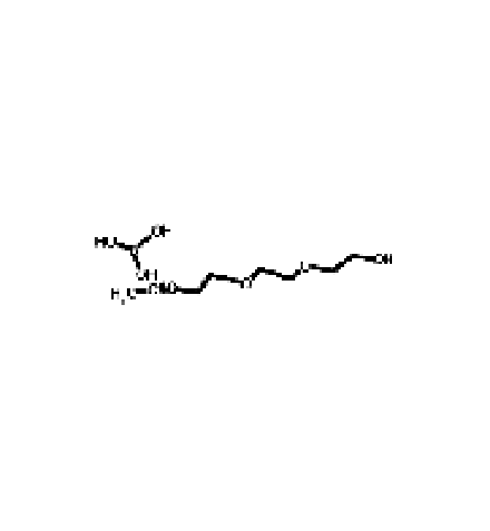 COC.OB(O)O.OCCOCCOCCO